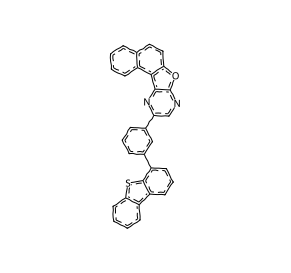 c1cc(-c2cnc3oc4ccc5ccccc5c4c3n2)cc(-c2cccc3c2sc2ccccc23)c1